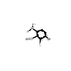 COc1c(N(F)F)ccc(Br)c1F